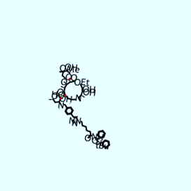 CC[C@H]1OC(=O)[C@H](C)[C@H](O[C@@H]2CC(C)(OC)[C@H](O)[C@H](C)O2)[C@H](C)[C@@H](O[C@@H]2O[C@H](C)C[C@H](N(C)Cc3ccc(-c4cn(CCCCCC(=O)NO[Si](c5ccccc5)(c5ccccc5)C(C)(C)C)nn4)cc3)[C@@H]2O)[C@](C)(O)C[C@@H](C)CN(C)[C@H](C)[C@@H](O)[C@]1(C)O